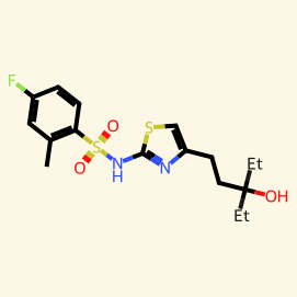 CCC(O)(CC)CCc1csc(NS(=O)(=O)c2ccc(F)cc2C)n1